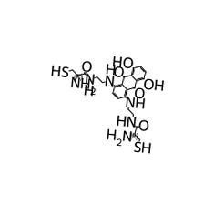 N[C@@H](CS)C(=O)NCCNc1ccc(NCCNC(=O)[C@@H](N)CS)c2c1C(=O)c1c(O)ccc(O)c1C2=O